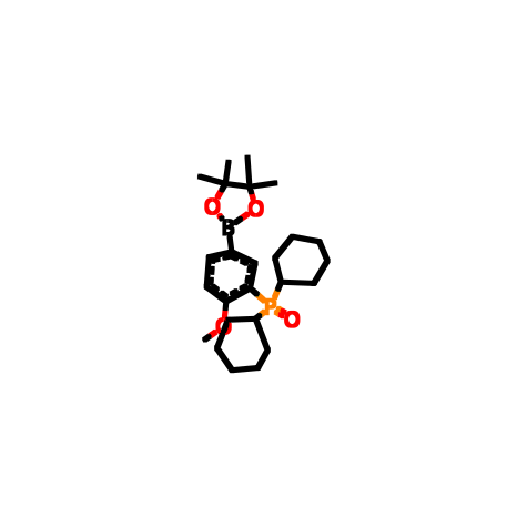 COc1ccc(B2OC(C)(C)C(C)(C)O2)cc1P(=O)(C1CCCCC1)C1CCCCC1